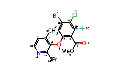 COC(=O)c1c(Oc2c(C)ccnc2C(C)C)cc(Br)c(Cl)c1F